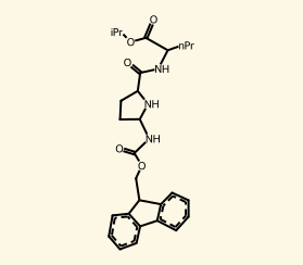 CCCC(NC(=O)C1CCC(NC(=O)OCC2c3ccccc3-c3ccccc32)N1)C(=O)OC(C)C